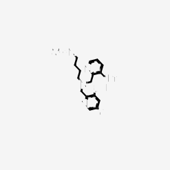 CNCCCCN(Cc1ncc(C)cc1C)Cc1ncccc1C(C)C